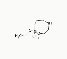 CCO[Si]1(C)CCCNCCO1